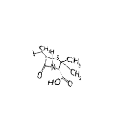 CC(I)C1C(=O)N2[C@@H]1SC(C)(C)[C@@H]2C(=O)O